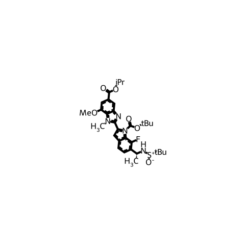 COc1cc(C(=O)OC(C)C)cc2nc(-c3cc4ccc([C@@H](C)N[S@@+]([O-])C(C)(C)C)c(F)c4n3C(=O)OC(C)(C)C)n(C)c12